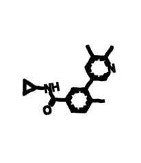 Cc1ccc(C(=O)NC2CC2)cc1-c1cnc(C)c(C)c1